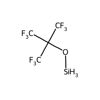 FC(F)(F)C(O[SiH3])(C(F)(F)F)C(F)(F)F